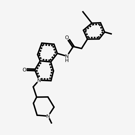 Cc1cc(C)cc(CC(=O)Nc2cccc3c(=O)n(CC4CCN(C)CC4)ccc23)c1